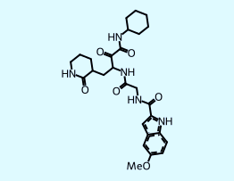 COc1ccc2[nH]c(C(=O)NCC(=O)NC(CC3CCCNC3=O)C(=O)C(=O)NC3CCCCC3)cc2c1